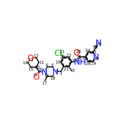 Cc1c(CN2CCN(C(=O)C3CCOCC3)C(C)C2)cc(Cl)cc1NC(=O)c1ccnc(C#N)c1